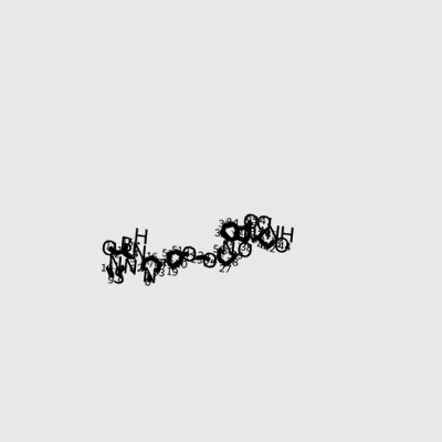 CN1C[C@H](Nc2nc3sccn3c(=O)c2Br)C[C@H](c2ccc(OCCOC3CCCN(c4cccc5c4C(=O)N(C4CCC(=O)NC4=O)C5=O)C3)cc2)C1